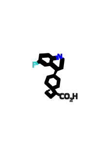 O=C(O)[C@H]1CC[C@]12CC[C@H](c1ccnc3ccc(F)cc31)CC2